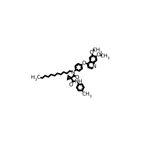 CCCCCCCCCCCN(C(=O)C1(C(=O)Nc2ccc(C)cc2)CC1)c1ccc(Oc2ccnc3cc(OC)c(OC)cc23)cc1